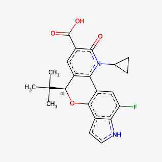 CC(C)(C)[C@@H]1Oc2c(cc(F)c3[nH]ccc23)-c2c1cc(C(=O)O)c(=O)n2C1CC1